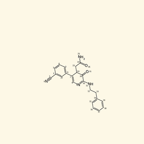 N#Cc1cccc(C2=CN=C(NCCc3ccccc3)C(=O)C2CC(N)=O)c1